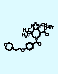 CC(C)OC(=O)C1=CN(C(=O)c2ccc(OCCN3CCOCC3)cc2)CC(C)(C)c2nnn(C)c21